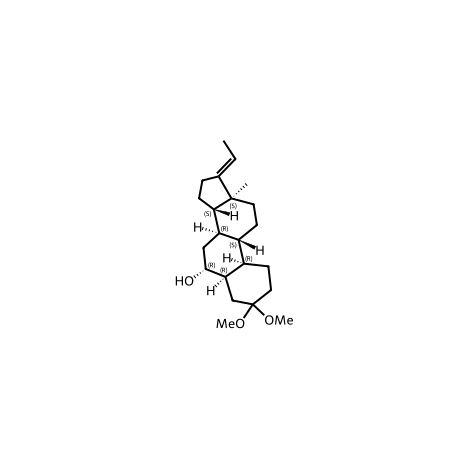 CC=C1CC[C@H]2[C@@H]3C[C@@H](O)[C@@H]4CC(OC)(OC)CC[C@@H]4[C@H]3CC[C@]12C